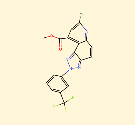 COC(=O)c1cc(Cl)nc2ccc3nn(-c4cccc(C(F)(F)F)c4)nc3c12